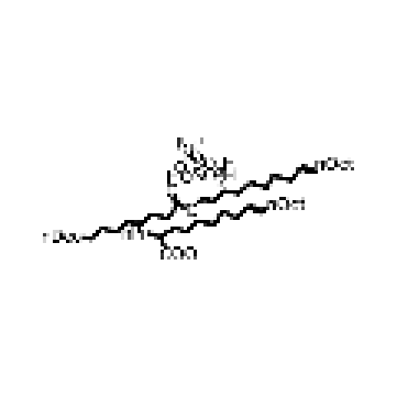 CCCCCCCCC=CCCCCCCC(CCC)C(=O)[O-].CCCCCCCCC=CCCCCCCCCOC(=O)CCCCCCCCCCCCCCCCC.O=S(=O)(O)O.O=S(=O)([O-])O.[Na+].[Na+]